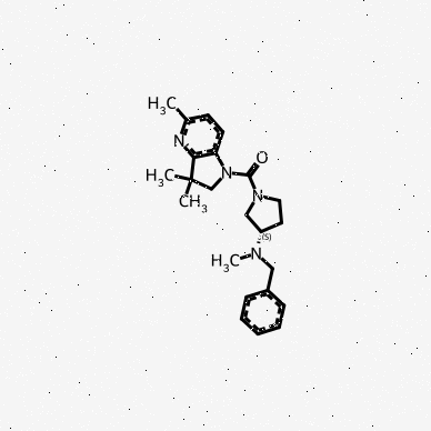 Cc1ccc2c(n1)C(C)(C)CN2C(=O)N1CC[C@H](N(C)Cc2ccccc2)C1